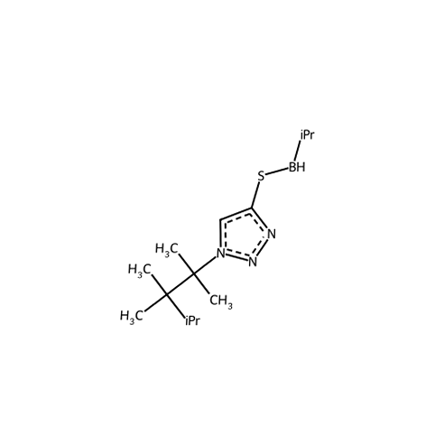 CC(C)BSc1cn(C(C)(C)C(C)(C)C(C)C)nn1